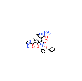 CC(C)C[C@@H](C(=O)NN)[C@H](C(=O)NOCc1ccccc1)C(CCC1CCCC1)(CC(C)C)C(=O)CC(=O)c1ncc[nH]1